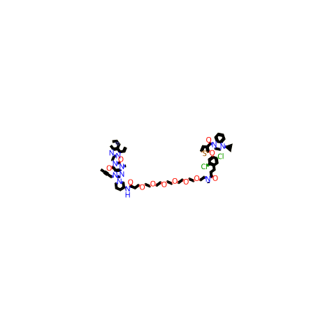 C=Cc1nc(Cn2c(=O)c3c(nc(N4CCC[C@H](NC(=O)CCOCCOCCOCCOCCOCCOCCN(C)C(=O)CCc5cc(Cl)c(Oc6sccc6C(=O)N6CCN(C7CC7)c7ccccc76)cc5Cl)C4)n3CC#CC)n(C)c2=O)nc(C)c1/C=C\C